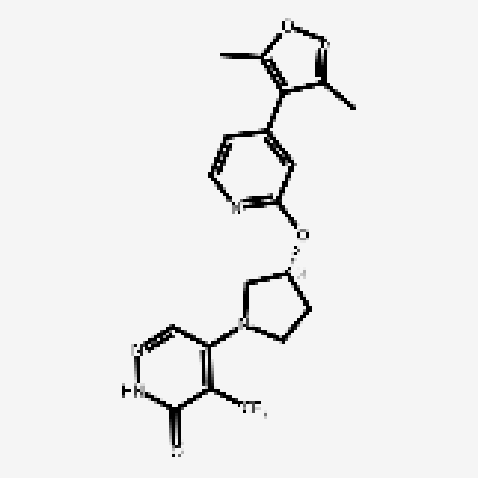 Cc1noc(C)c1-c1ccnc(O[C@@H]2CCN(c3cn[nH]c(=O)c3C(F)(F)F)C2)c1